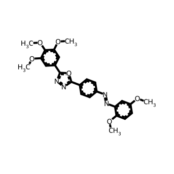 COc1ccc(OC)c(N=Nc2ccc(-c3nnc(-c4cc(OC)c(OC)c(OC)c4)o3)cc2)c1